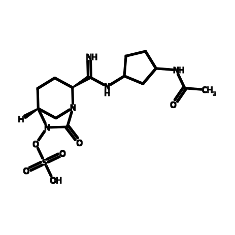 CC(=O)NC1CCC(NC(=N)[C@@H]2CC[C@@H]3CN2C(=O)N3OS(=O)(=O)O)C1